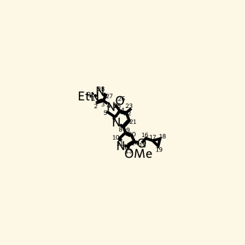 CCn1cc(N2Cc3nc(-c4cnc(OC)c(OCC5CC5)c4)cc(C)c3C2=O)cn1